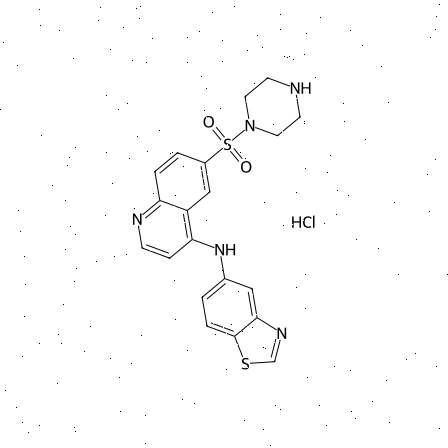 Cl.O=S(=O)(c1ccc2nccc(Nc3ccc4scnc4c3)c2c1)N1CCNCC1